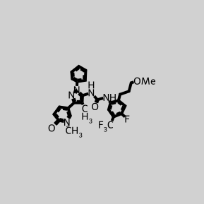 COCCCc1cc(F)c(C(F)(F)F)cc1NC(=O)Nc1c(C)c(-c2ccc(=O)n(C)c2)nn1-c1ccccc1